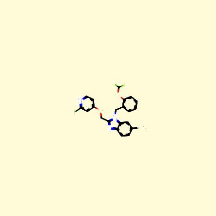 N#Cc1ccc2nc(COc3ccnc(Cl)c3)n(Cc3ccccc3OC(F)F)c2c1